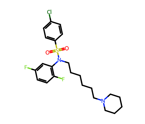 O=S(=O)(c1ccc(Cl)cc1)N(CCCCCCN1CCCCC1)c1cc(F)ccc1F